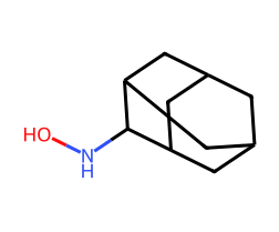 ONC1C2CC3CC(C2)CC1C3